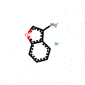 [Br-].[Mg+][c]1coc2ccccc12